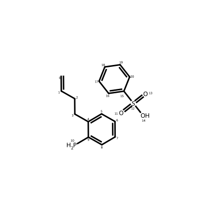 C=CCCc1ccccc1P.O=S(=O)(O)c1ccccc1